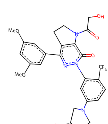 COc1cc(OC)cc(-c2nn(-c3cc(N4CC[C@H](O)C4)ccc3C(F)(F)F)c(=O)c3c2CCN3C(=O)CO)c1